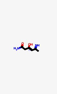 CC(=N)/C=C(\O)CC(N)=O